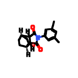 Cc1cc(C)cc(N2C(=O)[C@H]3[C@@H]4CC[C@@H](C(=O)C4)[C@H]3C2=O)c1